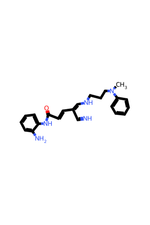 CN(CCCN/C=C(C=N)/C=C/C(=O)Nc1ccccc1N)c1ccccc1